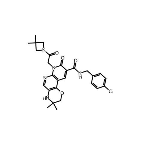 CC1(C)CN(C(=O)Cn2c(=O)c(C(=O)NCc3ccc(Cl)cc3)cc3c4c(cnc32)NC(C)(C)CO4)C1